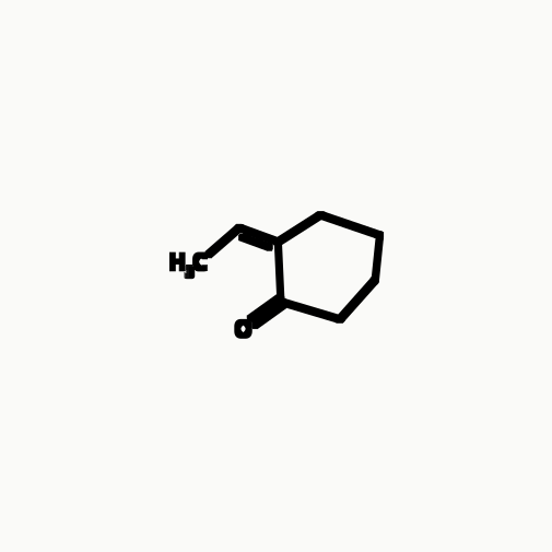 C/C=C1/CCCCC1=O